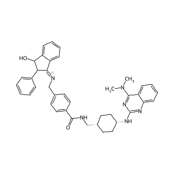 CN(C)c1nc(N[C@H]2CC[C@@H](CNC(=O)c3ccc(C/N=C4/c5ccccc5C(O)C4c4ccccc4)cc3)CC2)nc2ccccc12